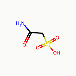 NC(=O)CS(=O)(=O)O